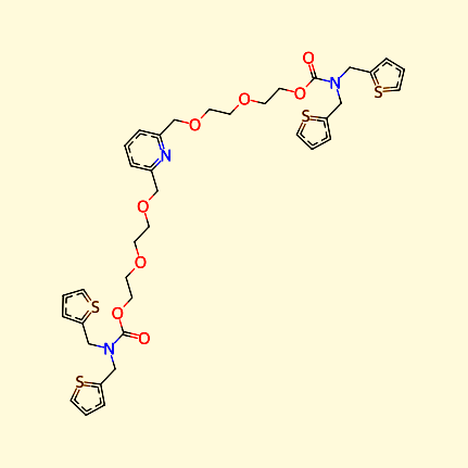 O=C(OCCOCCOCc1cccc(COCCOCCOC(=O)N(Cc2cccs2)Cc2cccs2)n1)N(Cc1cccs1)Cc1cccs1